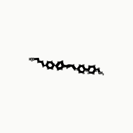 CCCCC[C@H]1CC[C@H](c2ccc(C#CC=C[C@H]3CC[C@H]([C@H]4CC[C@H](CC)CC4)CC3)cc2)CC1